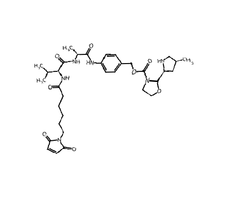 CC1CN[C@H](C2OCCN2C(=O)OCc2ccc(NC(=O)[C@H](C)NC(=O)[C@@H](NC(=O)CCCCCN3C(=O)C=CC3=O)C(C)C)cc2)C1